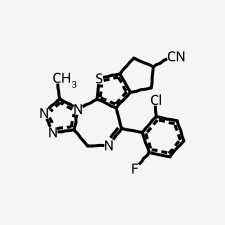 Cc1nnc2n1-c1sc3c(c1C(c1c(F)cccc1Cl)=NC2)CC(C#N)C3